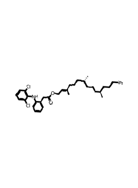 C/C(=C\COC(=O)Cc1ccccc1Nc1c(Cl)cccc1Cl)CCC[C@H](C)CCC[C@H](C)CCCC(C)C